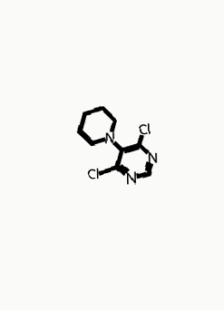 Clc1ncnc(Cl)c1N1CCCCC1